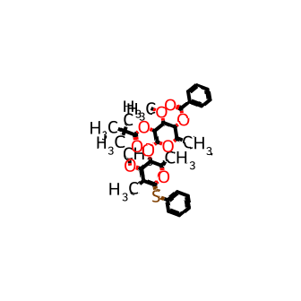 COC1C(C)C(Sc2ccccc2)OC(C)C1OC1OC(C)C(OC(=O)c2ccccc2)C(OC)C1OC(=O)C(C)(C)C